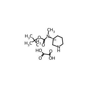 CN(C(=O)OC(C)(C)C)[C@H]1CCCNC1.O=C(O)C(=O)O